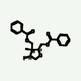 C[C@]1(COC(=O)c2ccccc2)[C@H](F)CO[C@@H]1COC(=O)c1ccccc1